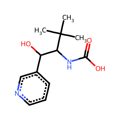 CC(C)(C)C(NC(=O)O)C(O)c1cccnc1